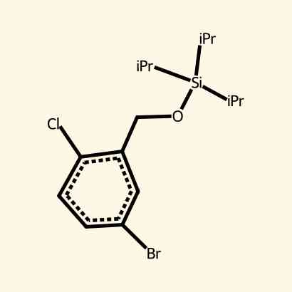 CC(C)[Si](OCc1cc(Br)ccc1Cl)(C(C)C)C(C)C